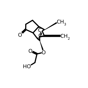 C=C1C[C@@H](OC(=O)CO)C2CCCC3(CCC(=O)C23)C[C@@H]1C